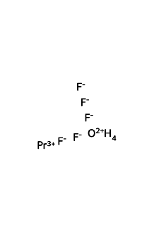 [F-].[F-].[F-].[F-].[F-].[OH4+2].[Pr+3]